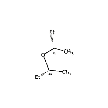 CC[C@@H](C)O[C@@H](C)CC